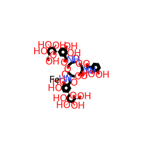 O=C(N[C@H]1COC(=O)[C@@H](NC(=O)c2cc([C@@H]3O[C@H](CO)[C@@H](O)[C@H](O)[C@H]3O)cc(O)c2O)COC(=O)[C@@H](NC(=O)c2cc([C@@H]3O[C@H](CO)[C@@H](O)[C@H](O)[C@H]3O)cc(O)c2O)COC1=O)c1cccc(O)c1O.[Fe]